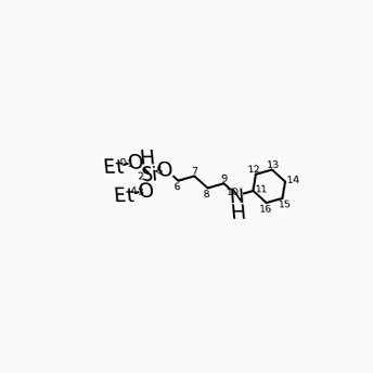 CCO[SiH](OCC)OCCCCNC1CCCCC1